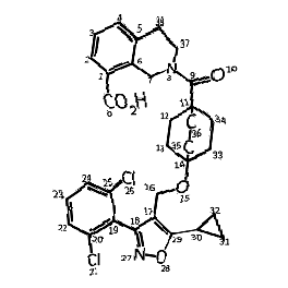 O=C(O)c1cccc2c1CN(C(=O)C13CCC(OCc4c(-c5c(Cl)cccc5Cl)noc4C4CC4)(CC1)CC3)CC2